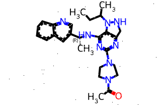 CCC(C)N1NCc2nc(N3CCN(C(C)=O)CC3)nc(N[C@H](C)c3cnc4ccccc4c3)c21